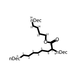 CCCCCCCCCCCCCCCCC(CCCCCCCCCC)C(=O)OCCCCCCCCCCCCCC